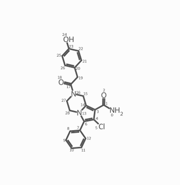 NC(=O)c1c(Cl)c(-c2ccccc2)n2c1CN(C(=O)Cc1ccc(O)cc1)CC2